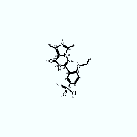 CCOc1ccc(S(=O)(=O)Cl)cc1-c1nn2c(C)nc(C)c2c(=O)[nH]1